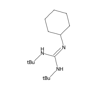 CC(C)(C)NC(=NC1CCCCC1)NC(C)(C)C